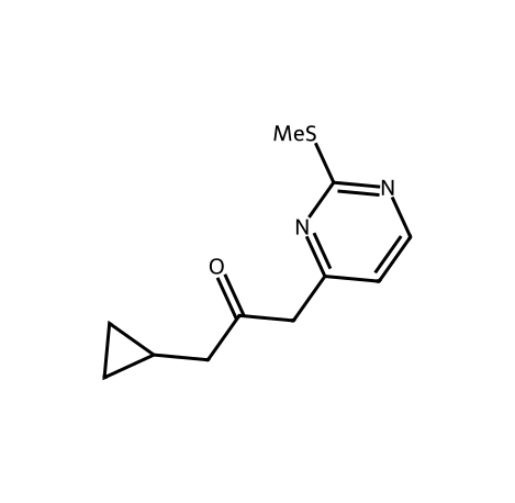 CSc1nccc(CC(=O)CC2CC2)n1